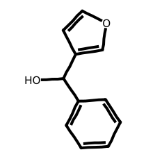 OC(c1ccccc1)c1ccoc1